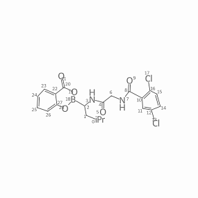 CC(C)CC(NC(=O)CNC(=O)c1cc(Cl)ccc1Cl)B1OC(=O)c2ccccc2O1